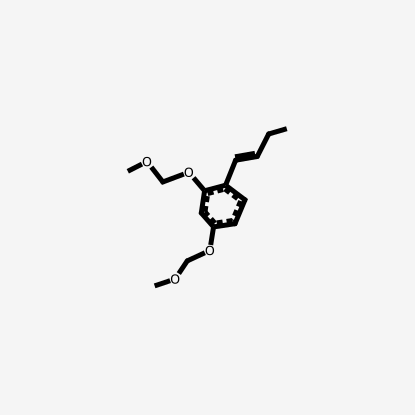 CCC=Cc1ccc(OCOC)cc1OCOC